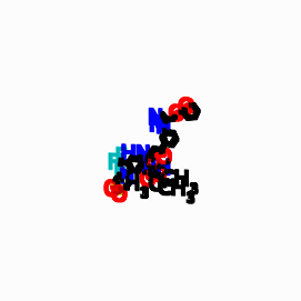 CC(C)(C)OC(=O)Nc1cc(N2CCS(=O)(=O)CC2)c(C(F)(F)F)cc1NC(=O)CC(=O)c1cccc(-n2nncc2COC2CCCCO2)c1